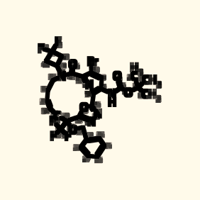 CC(C)(C)OC(=O)Nc1cc(Br)c2nc1-c1nnc(o1)C(OCc1ccccc1)(C(F)(F)F)CC=CCCN(C1CC(F)(F)C1)C2=O